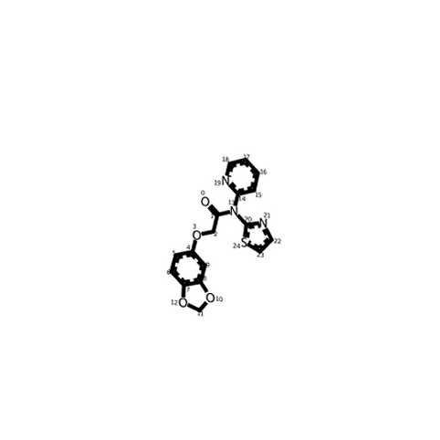 O=C(COc1ccc2c(c1)OCO2)N(c1ccccn1)c1nccs1